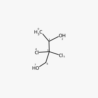 CC(O)C(Cl)(Cl)CO